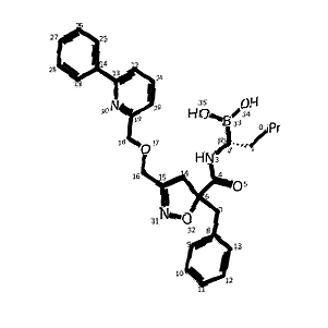 CC(C)C[C@H](NC(=O)C1(Cc2ccccc2)CC(COCc2cccc(-c3ccccc3)n2)=NO1)B(O)O